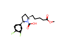 COC(=O)CCCC[C@@H]1CC[C@H](c2ccc(F)c(F)c2)N1C(=O)O